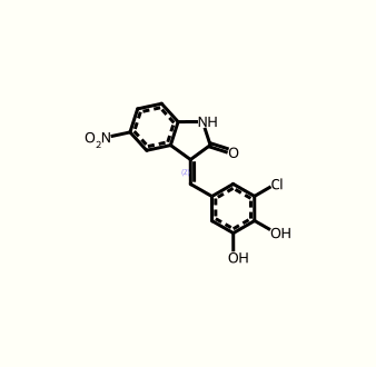 O=C1Nc2ccc([N+](=O)[O-])cc2/C1=C/c1cc(O)c(O)c(Cl)c1